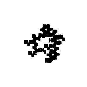 CC(C)CCN(C)C(=O)CCCc1ccccc1NC(=O)[C@H](C)NC(=O)[C@@H](N)Cc1ccc(O)cc1.Cl